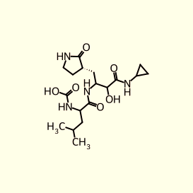 CC(C)CC(NC(=O)O)C(=O)NC(C[C@@H]1CCNC1=O)C(O)C(=O)NC1CC1